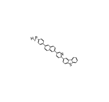 Pc1ccc(-c2ccc3cc(-c4ccc(-c5ccc6sc7ccccc7c6c5)nc4)ccc3c2)cc1